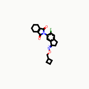 O=C1C2=C(CCCC2)C(=O)N1c1cc2c(cc1F)CC/C2=N\OCC1CCC1